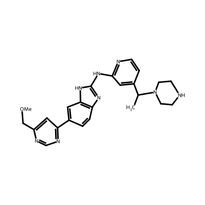 COCc1cc(-c2ccc3nc(Nc4cc(C(C)N5CCNCC5)ccn4)[nH]c3c2)ncn1